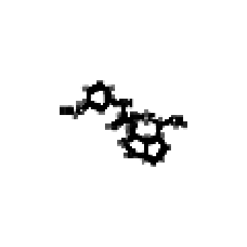 CN(C)c1cccc2onc(NC(=S)Nc3cccc(C(=O)O)c3)c12